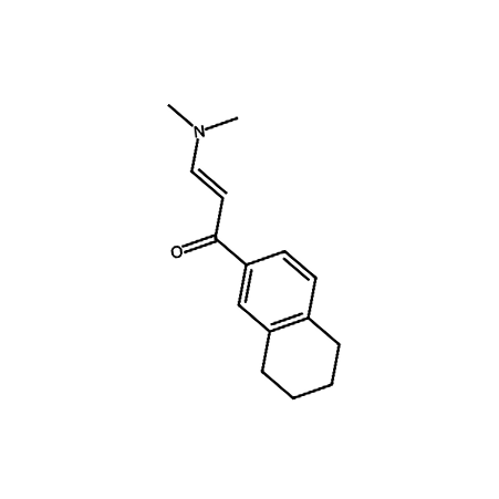 CN(C)C=CC(=O)c1ccc2c(c1)CCCC2